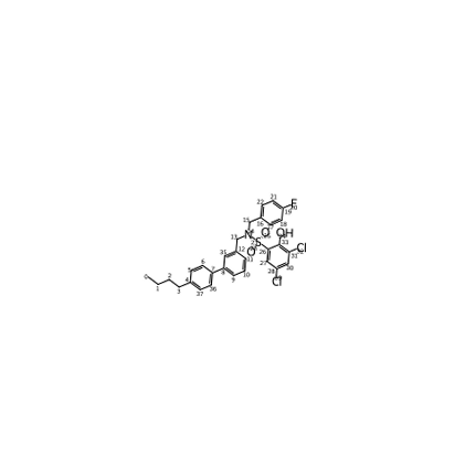 CCCCc1ccc(-c2cccc(CN(Cc3ccc(F)cc3)S(=O)(=O)c3cc(Cl)cc(Cl)c3O)c2)cc1